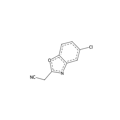 N#CCc1nc2cc(Cl)ccc2o1